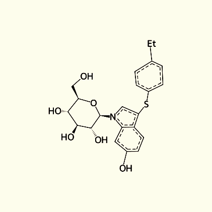 CCc1ccc(Sc2cn([C@@H]3O[C@H](CO)[C@@H](O)[C@H](O)[C@H]3O)c3cc(O)ccc23)cc1